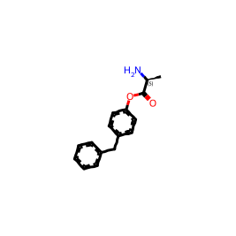 C[C@H](N)C(=O)Oc1ccc(Cc2ccccc2)cc1